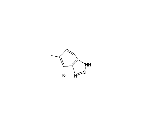 Cc1ccc2[nH]nnc2c1.[K]